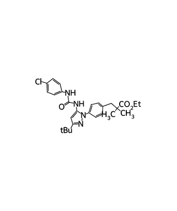 CCOC(=O)C(C)(C)Cc1ccc(-n2nc(C(C)(C)C)cc2NC(=O)Nc2ccc(Cl)cc2)cc1